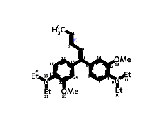 C/C=C/C=C(c1ccc(N(CC)CC)c(OC)c1)c1ccc(N(CC)CC)c(OC)c1